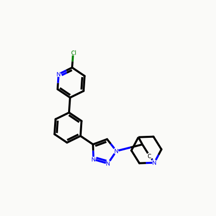 Clc1ccc(-c2cccc(-c3cn(C4CN5CCC4CC5)nn3)c2)cn1